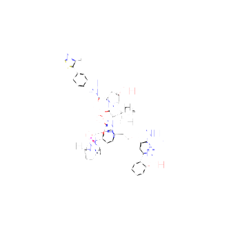 Cc1ncsc1-c1ccc(CNC(=O)[C@@H]2C[C@@H](O)CN2C(=O)[C@@H](NC(=O)CCN2C[C@H]3CC[C@@H](C2)N3C(=O)c2ccc(CCOc3cc(-c4ccccc4O)nnc3N)cc2)C(C)(C)C)cc1